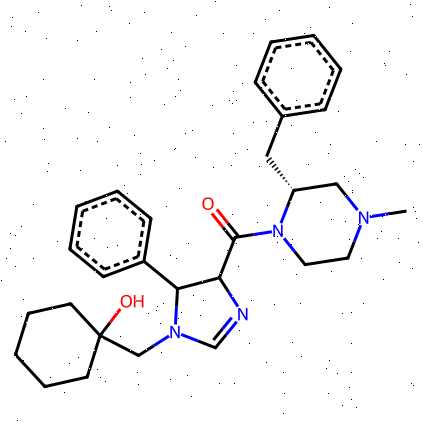 CN1CCN(C(=O)C2N=CN(CC3(O)CCCCC3)C2c2ccccc2)[C@H](Cc2ccccc2)C1